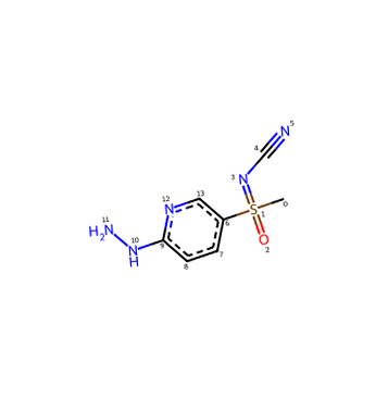 CS(=O)(=NC#N)c1ccc(NN)nc1